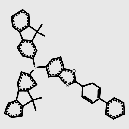 CC1(C)c2ccccc2-c2ccc(N(c3ccc4c(c3)C(C)(C)c3ccccc3-4)c3ccc4oc(C5C=CC(c6ccccc6)=CC5)nc4c3)cc21